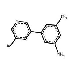 CC(=O)c1cncc(-c2cc(N)cc(C(F)(F)F)c2)c1